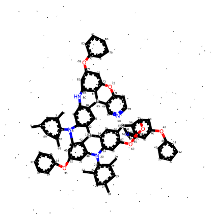 Cc1cc(C)c(N2c3cc4c(cc3B3c5cc6c(cc5N(c5c(C)cc(C)cc5C)c5cc(Oc7ccccc7)cc2c53)Oc2cc(Oc3ccccc3)cc3c2B6c2cnccc2O3)B2c3cnccc3Oc3cc(Oc5ccccc5)cc(c32)N4)c(C)c1